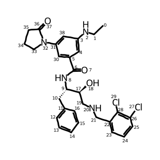 CCNc1cc(C(=O)N[C@@H](Cc2ccccc2)[C@@H](O)CNCc2cccc(Cl)c2Cl)cc(N2CCCC2=O)c1